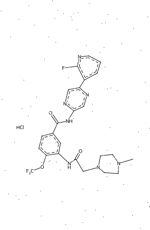 CN1CCN(CC(=O)Nc2cc(C(=O)Nc3cnc(-c4cccnc4F)cn3)ccc2OC(F)(F)F)CC1.Cl